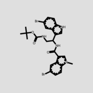 Cn1cc(C(=O)NC(CNC(=O)OC(C)(C)C)c2c[nH]c3ccc(Br)cc23)c2cc(Br)ccc21